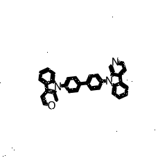 C1=Cc2c(n(-c3ccc(-c4ccc(-n5c6ccccc6c6ccncc65)cc4)cc3)c3ccccc23)CO1